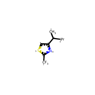 CC(C)C(C)c1csc(C(F)(F)F)n1